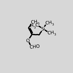 CC=C(C[Si](C)(C)C)OC=O